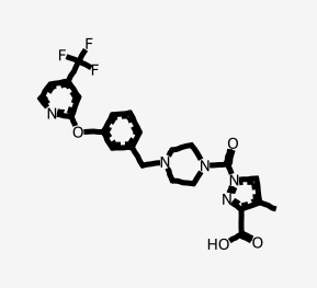 Cc1cn(C(=O)N2CCN(Cc3cccc(Oc4cc(C(F)(F)F)ccn4)c3)CC2)nc1C(=O)O